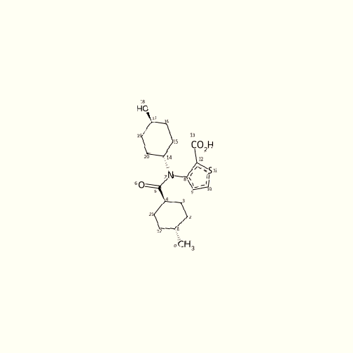 C[C@H]1CC[C@H](C(=O)N(c2ccsc2C(=O)O)[C@H]2CC[C@H](O)CC2)CC1